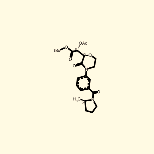 CC(=O)O[C@@H](C(=O)OC(C)(C)C)[C@H]1OCCN(c2cccc(C(=O)N3CCC[C@H]3C)c2)C1=O